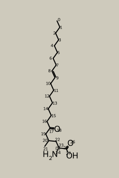 CCCCCCCCC=CCCCCCCCC(=O)CC(C)C[C@H](N)C(=O)O